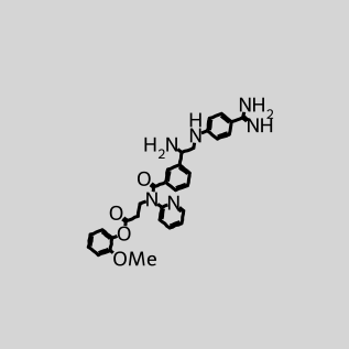 COc1ccccc1OC(=O)CCN(C(=O)c1cccc(C(N)CNc2ccc(C(=N)N)cc2)c1)c1ccccn1